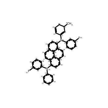 CC1C=C(N(c2cccc(F)c2)c2ccc3ccc4c(N(c5ccccc5)c5cccc(F)c5)ccc5ccc2c3c54)C=CC1